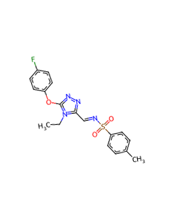 CCn1c(C=NS(=O)(=O)c2ccc(C)cc2)nnc1Oc1ccc(F)cc1